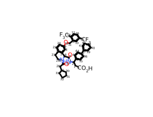 O=C(O)CC(NC(=O)C1c2cc(OCc3cc(C(F)(F)F)ccc3C(F)(F)F)ccc2CCN1C(=O)CC1CCCC1)c1ccc(-c2ccccc2)cc1